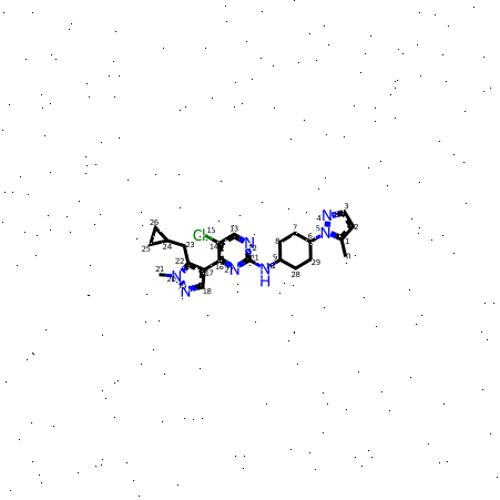 Cc1ccnn1C1CCC(Nc2ncc(Cl)c(-c3cnn(C)c3CC3CC3)n2)CC1